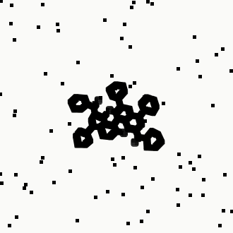 O=C(c1ccccc1)c1cc(-c2ccccc2)c2ccc3oc4c(C(=O)c5ccccc5)cc(-c5ccccc5)c5cc(-c6ccccc6)c6oc1c2c3-c6c54